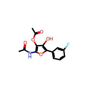 CC(=O)Nc1oc(-c2cccc(F)c2)c(O)c1OC(C)=O